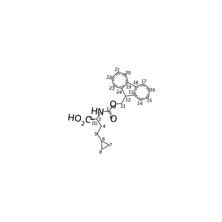 O=C(N[C@@H](CCC1CC1)C(=O)O)OCC1c2ccccc2-c2ccccc21